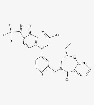 CCC1CN(Cc2cc(C(CC(=O)O)c3ccn4c(C(F)(F)F)nnc4c3)ccc2C)[S+]([O-])c2cccnc2O1